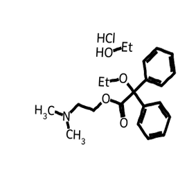 CCO.CCOC(C(=O)OCCN(C)C)(c1ccccc1)c1ccccc1.Cl